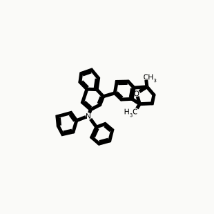 CC12CCC(C)(O1)c1cc(-c3cc(N(c4ccccc4)c4ccccc4)cc4ccccc34)ccc12